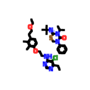 CC(C)N1C(=O)N(c2ccccc2)CS/C1=N\C(C)(C)C.CCOCCc1ccc(OCCNc2ncnc(CC)c2Cl)c(C)c1C